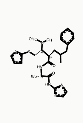 CC(Cc1ccccc1)C[C@@H](C(=O)N[C@H](C(=O)Nc1nccs1)C(C)(C)C)[C@H](CSc1cccs1)N(O)C=O